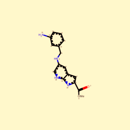 COC(=O)c1cc2cc(NCc3cccc(N)c3)c[nH]c-2n1